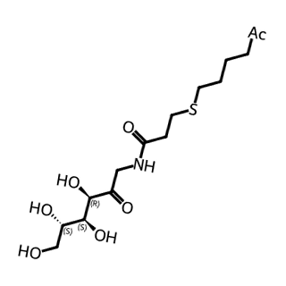 CC(=O)CCCCSCCC(=O)NCC(=O)[C@H](O)[C@@H](O)[C@@H](O)CO